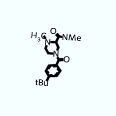 CNC(=O)C1CN(C(=O)c2ccc(C(C)(C)C)cc2)CCN1C